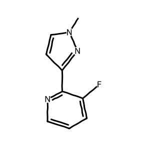 Cn1ccc(-c2ncccc2F)n1